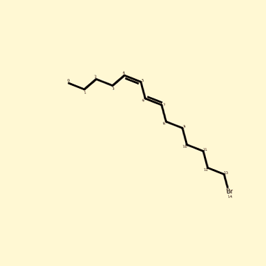 CCCC/C=C\C=C\CCCCCCBr